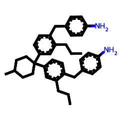 CCCc1cc(C2(c3ccc(Cc4ccc(N)cc4)c(CCC)c3)CCC(C)CC2)ccc1Cc1ccc(N)cc1